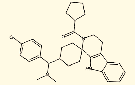 CN(C)C(c1ccc(Cl)cc1)C1CCC2(CC1)c1[nH]c3ccccc3c1CCN2C(=O)C1CCCC1